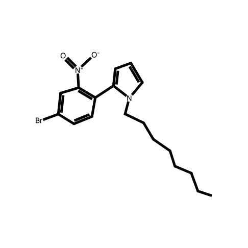 CCCCCCCCn1cccc1-c1ccc(Br)cc1[N+](=O)[O-]